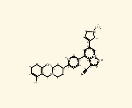 CC1=C(CN2CCN(c3ccc(-c4cc(C5=CCN(C)C5)cn5ncc(C#N)c45)cn3)CC2)C(F)=CCC1